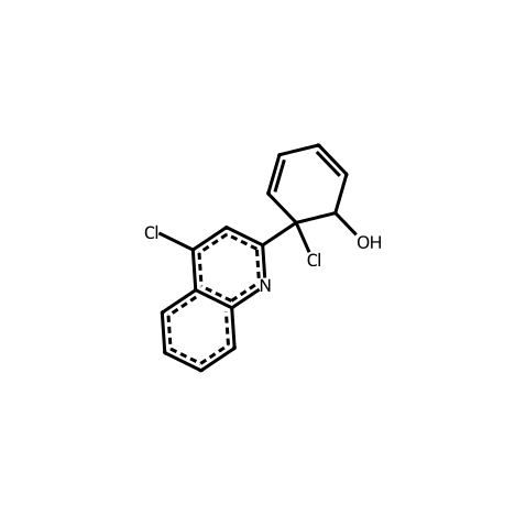 OC1C=CC=CC1(Cl)c1cc(Cl)c2ccccc2n1